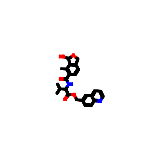 Cc1c(C(=O)NC(C(=O)OCc2ccc3ncccc3c2)C(C)C)ccc2c1B(O)OC2